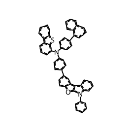 c1ccc(-n2c3ccccc3c3c4cc(-c5ccc(N(c6ccc(-c7cccc8ccccc78)cc6)c6cccc7c6sc6ccccc67)cc5)ccc4oc32)cc1